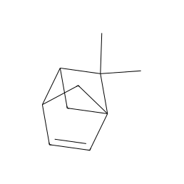 CC1(C)C2CC13C=CC2C3